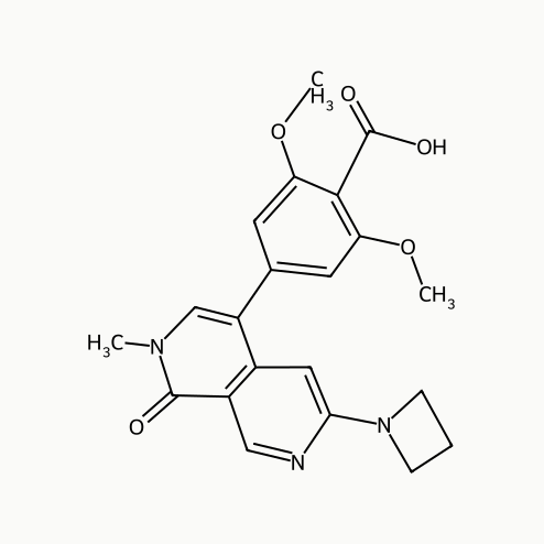 COc1cc(-c2cn(C)c(=O)c3cnc(N4CCC4)cc23)cc(OC)c1C(=O)O